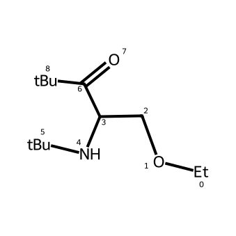 CCOCC(NC(C)(C)C)C(=O)C(C)(C)C